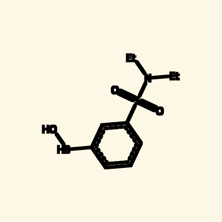 CCN(CC)S(=O)(=O)c1cccc(BO)c1